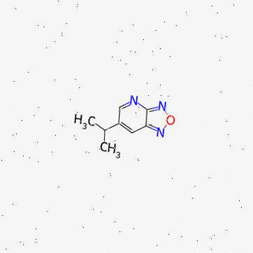 CC(C)c1cnc2nonc2c1